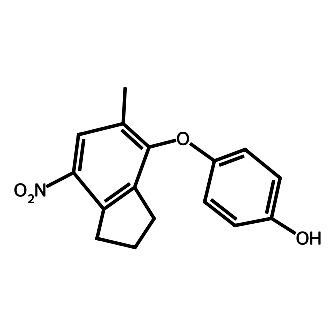 Cc1cc([N+](=O)[O-])c2c(c1Oc1ccc(O)cc1)CCC2